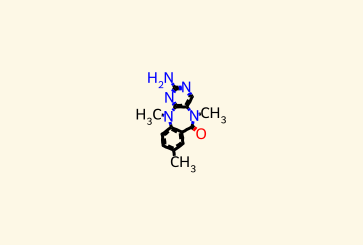 Cc1ccc2c(c1)C(=O)N(C)c1cnc(N)nc1N2C